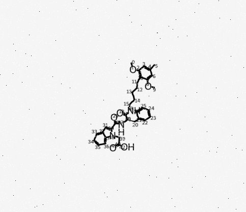 COc1cc(C)cc(OC)c1CCCCCNC(=O)[C@@H](Cc1ccccc1)NC(=O)c1cc2ccccc2n1CC(=O)O